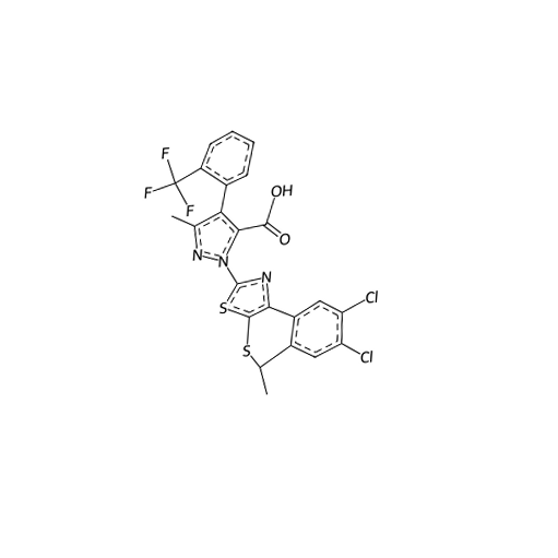 Cc1nn(-c2nc3c(s2)SC(C)c2cc(Cl)c(Cl)cc2-3)c(C(=O)O)c1-c1ccccc1C(F)(F)F